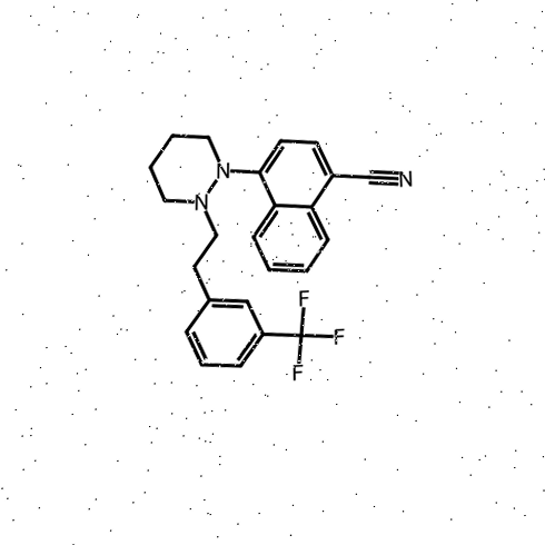 N#Cc1ccc(N2CCCCN2CCc2cccc(C(F)(F)F)c2)c2ccccc12